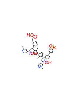 Cc1cc(/C(CC(c2cccc(CC(=O)O)c2)c2ccccc2C)=N/O)ccn1.Cc1cc(C(CC(c2cccc(-c3ccc(S(C)(=O)=O)cc3)c2)c2ccccc2C)=NO)ccn1